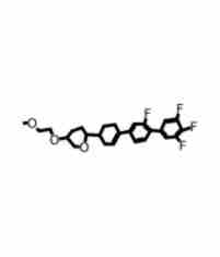 COCCOC1CCC(C2CC=C(c3ccc(-c4cc(F)c(F)c(F)c4)c(F)c3)CC2)OC1